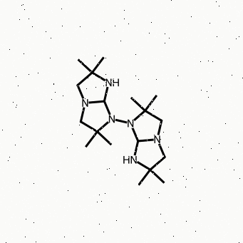 CC1(C)CN2CC(C)(C)N(N3C4NC(C)(C)CN4CC3(C)C)C2N1